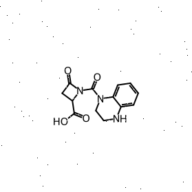 O=C(O)C1CC(=O)N1C(=O)N1CCNc2ccccc21